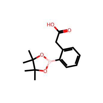 CC1(C)OB(c2ccccc2CC(=O)O)OC1(C)C